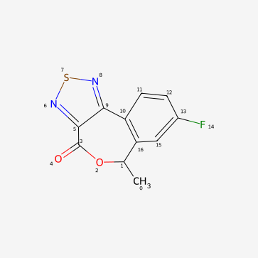 CC1OC(=O)c2nsnc2-c2ccc(F)cc21